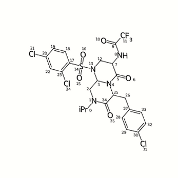 CC(C)N1CC2N(C(=O)C(NC(=O)C(F)(F)F)CN2S(=O)(=O)c2ccc(Cl)cc2Cl)C(Cc2ccc(Cl)cc2)C1=O